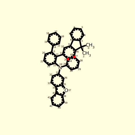 CC1(C)c2ccccc2-c2cc(-c3c(-c4ccccc4)cccc3N(c3ccccc3)c3ccc4c(c3)oc3ccccc34)ccc21